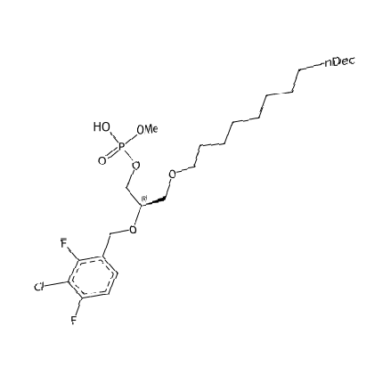 CCCCCCCCCCCCCCCCCCOC[C@H](COP(=O)(O)OC)OCc1ccc(F)c(Cl)c1F